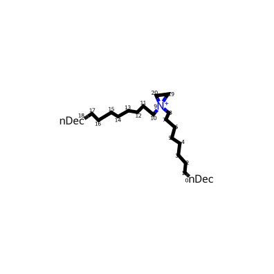 CCCCCCCCCCCCCCCCCC[N+]1(CCCCCCCCCCCCCCCCCC)[CH]C1